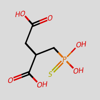 O=C(O)CC(CP(O)(O)=S)C(=O)O